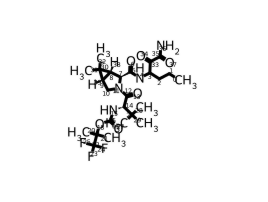 CCCC(NC(=O)[C@@H]1[C@@H]2[C@H](CN1C(=O)[C@@H](NC(=O)OC(C)(C)C(F)(F)F)C(C)(C)C)C2(C)C)C(=O)C(N)=O